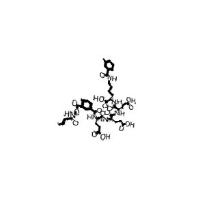 CCCC(=O)NOC(=O)c1cccc(C(=O)N[C@H](CCC(=O)O)C(=O)N[C@H](CCC(=O)O)C(=O)N[C@H](CCC(=O)O)C(=O)N[C@H](CCCCNC(=O)c2cccc(C)c2)C(=O)O)c1